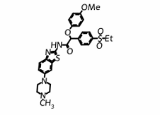 CCS(=O)(=O)c1ccc(C(Oc2ccc(OC)cc2)C(=O)Nc2nc3ccc(N4CCN(C)CC4)cc3s2)cc1